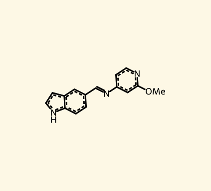 COc1cc(N=Cc2ccc3[nH]ccc3c2)ccn1